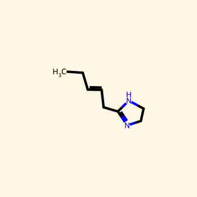 CCC=CCC1=NCCN1